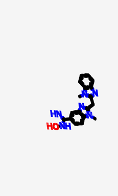 Cn1c(Cc2nc3cc(C(=N)NO)ccc3n2C)nc2ccccc21